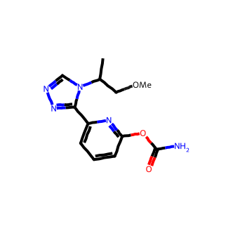 COCC(C)n1cnnc1-c1cccc(OC(N)=O)n1